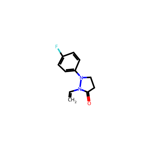 C=CN1C(=O)CCN1c1ccc(F)cc1